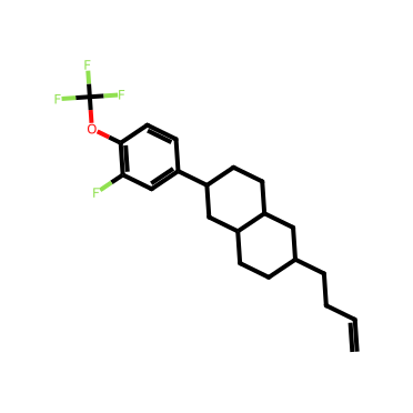 C=CCCC1CCC2CC(c3ccc(OC(F)(F)F)c(F)c3)CCC2C1